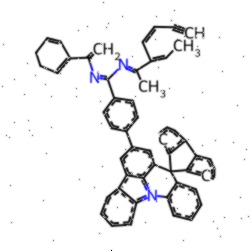 C#C\C=C/C(=C\C)C(/C)=N/C(=N\C(=C)C1=CCCC=C1)c1ccc(-c2cc3c4c(c2)c2ccccc2n4-c2ccccc2C32c3ccccc3-c3ccccc32)cc1